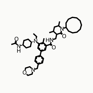 CCN(c1cc(-c2ccc(CN3CCOCC3)cc2)cc(C(=O)NCC2C(=O)N(C3CCCCCCCCCC3)C(C)CC2C)c1C)[C@H]1CC[C@H](NC(C)=O)CC1